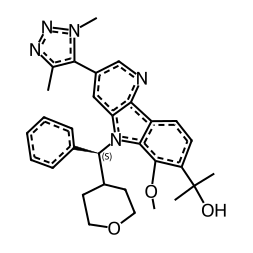 COc1c(C(C)(C)O)ccc2c3ncc(-c4c(C)nnn4C)cc3n([C@H](c3ccccc3)C3CCOCC3)c12